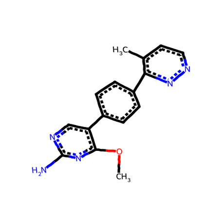 COc1nc(N)ncc1-c1ccc(-c2nnccc2C)cc1